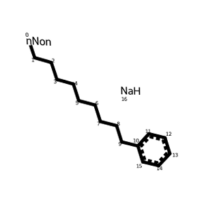 CCCCCCCCCCCCCCCCCCc1ccccc1.[NaH]